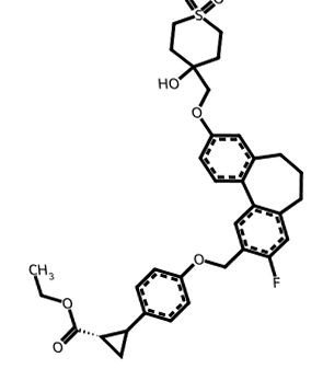 CCOC(=O)[C@H]1CC1c1ccc(OCc2cc3c(cc2F)CCCc2cc(OCC4(O)CCS(=O)(=O)CC4)ccc2-3)cc1